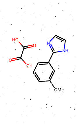 COc1cccc(-c2ncc[nH]2)c1.O=C(O)C(=O)O